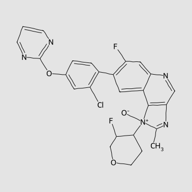 CC1=Nc2cnc3cc(F)c(-c4ccc(Oc5ncccn5)cc4Cl)cc3c2[N+]1([O-])C1CCOCC1F